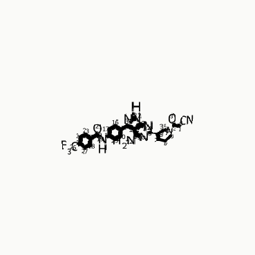 N#CCC(=O)N1CCC[C@@H](c2nc(N)c3c(-c4ccc(NC(=O)c5ccc(C(F)(F)F)cc5)cc4)n[nH]c3n2)C1